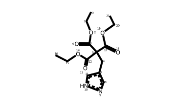 CCOC(=O)C(Cc1cn[nH]c1)(C(=O)OCC)C(=O)OCC